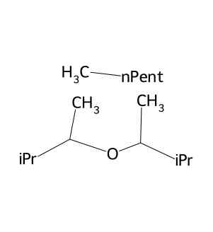 CC(C)C(C)OC(C)C(C)C.CCCCCC